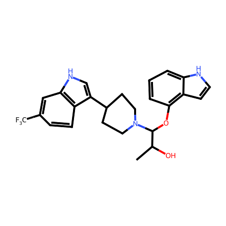 CC(O)C(Oc1cccc2[nH]ccc12)N1CCC(c2c[nH]c3cc(C(F)(F)F)ccc23)CC1